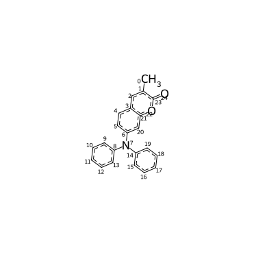 Cc1cc2ccc(N(c3ccccc3)c3ccccc3)cc2oc1=O